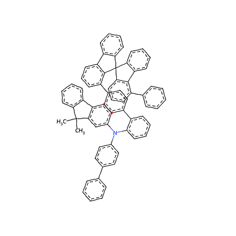 CC1(C)c2ccccc2-c2ccc(N(c3ccc(-c4ccccc4)cc3)c3ccccc3-c3ccc(-c4cccc5c4C4(c6ccccc6-5)c5ccccc5-c5c(-c6ccccc6)cccc54)cc3)cc21